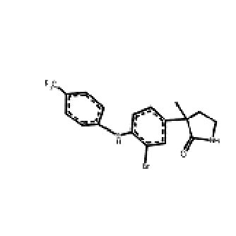 CC1(c2ccc(Nc3ccc(C(F)(F)F)cc3)c(Br)c2)CCNC1=O